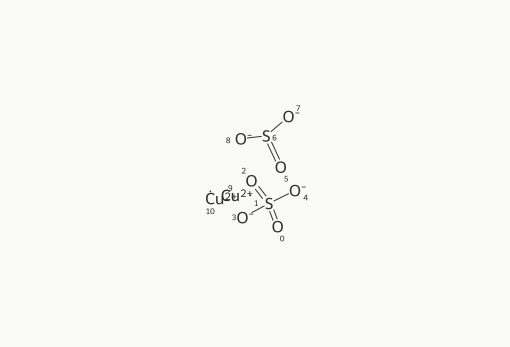 O=S(=O)([O-])[O-].O=S([O-])[O-].[Cu+2].[Cu+2]